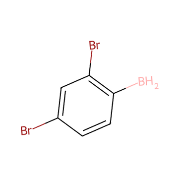 Bc1ccc(Br)cc1Br